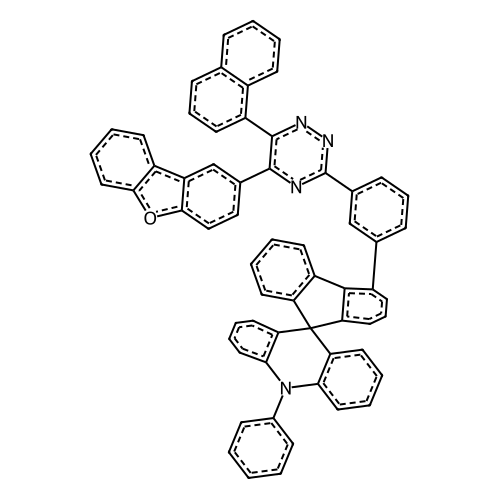 c1ccc(N2c3ccccc3C3(c4ccccc4-c4c(-c5cccc(-c6nnc(-c7cccc8ccccc78)c(-c7ccc8oc9ccccc9c8c7)n6)c5)cccc43)c3ccccc32)cc1